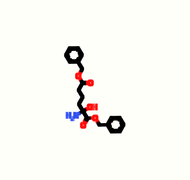 N[C@](O)(CCCC(=O)OCc1ccccc1)C(=O)OCc1ccccc1